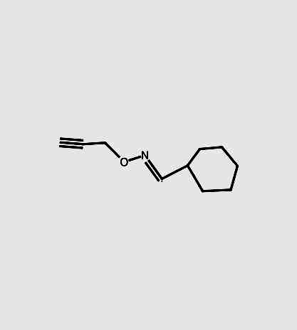 C#CCO/N=[C]/C1CCCCC1